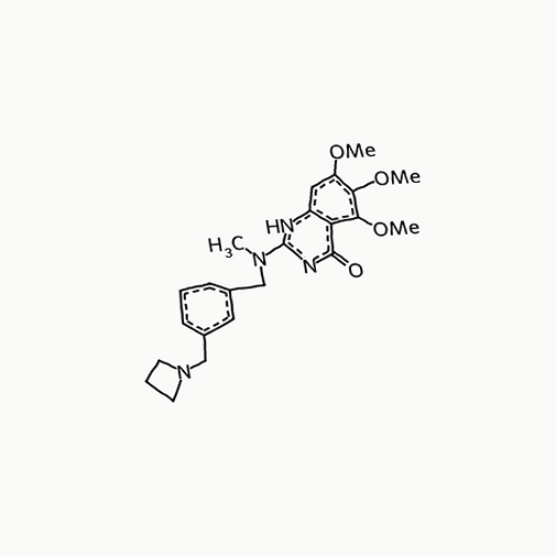 COc1cc2[nH]c(N(C)Cc3cccc(CN4CCC4)c3)nc(=O)c2c(OC)c1OC